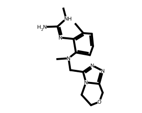 CN/C(N)=N\c1c(C)cccc1N(C)Cc1nnc2n1CCOC2